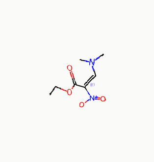 CCOC(=O)/C(=C\N(C)C)[N+](=O)[O-]